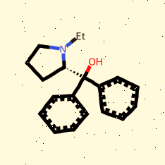 CCN1CCC[C@H]1C(O)(c1ccccc1)c1ccccc1